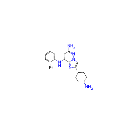 CCc1ccccc1Nc1cc(N)nn2cc([C@H]3CC[C@H](N)CC3)nc12